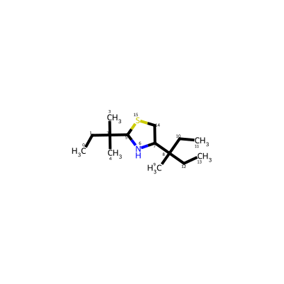 CCC(C)(C)C1NC(C(C)(CC)CC)CS1